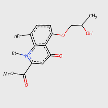 CCCc1ccc(OCC(C)O)c2c(=O)cc(C(=O)OC)n(CC)c12